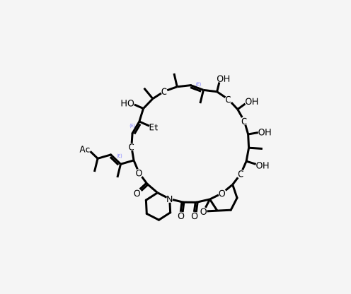 CC/C1=C\CC(/C(C)=C/C(C)C(C)=O)OC(=O)C2CCCCN2C(=O)C(=O)C23OC(CCC2O3)CC(O)C(C)C(O)CC(O)CC(O)/C(C)=C/C(C)CC(C)C1O